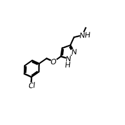 CNCc1cc(OCc2cccc(Cl)c2)[nH]n1